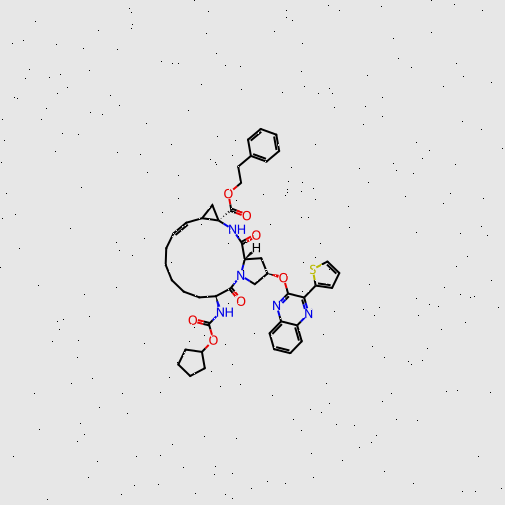 O=C(N[C@H]1CCCCC/C=C\C2C[C@@]2(C(=O)OCCc2ccccc2)NC(=O)[C@@H]2C[C@@H](Oc3nc4ccccc4nc3-c3cccs3)CN2C1=O)OC1CCCC1